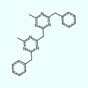 Cc1nc(Cc2ccccc2)nc(Cc2nc(C)nc(Cc3ccccc3)n2)n1